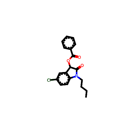 CCCCN1C(=O)C(OC(=O)c2ccccc2)c2cc(Cl)ccc21